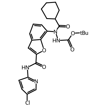 CC(C)(C)OC(=O)NN(C(=O)C1CCCCC1)c1cccc2cc(C(=O)Nc3ccc(Cl)cn3)oc12